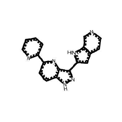 c1ccc(-c2ccc3[nH]nc(-c4cc5ccncc5[nH]4)c3n2)nc1